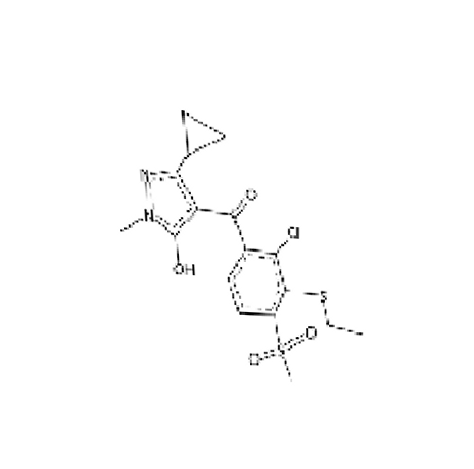 CCSc1c(S(C)(=O)=O)ccc(C(=O)c2c(C3CC3)nn(C)c2O)c1Cl